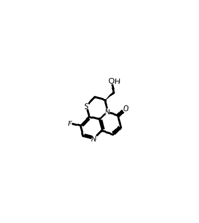 O=c1ccc2ncc(F)c3c2n1[C@H](CO)CS3